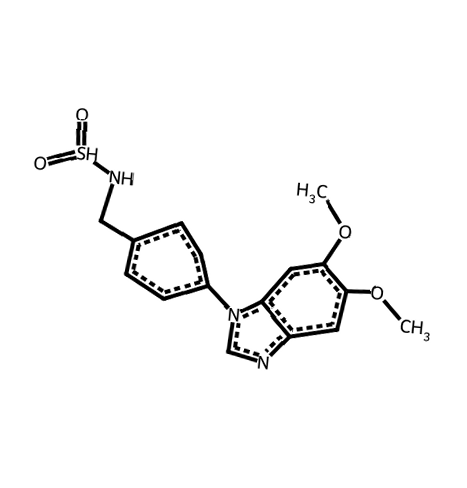 COc1cc2ncn(-c3ccc(CN[SH](=O)=O)cc3)c2cc1OC